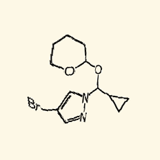 Brc1cnn(C(OC2CCCCO2)C2CC2)c1